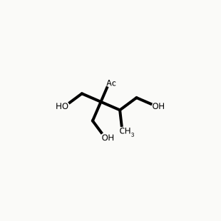 CC(=O)C(CO)(CO)C(C)CO